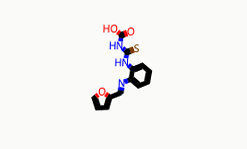 O=C(O)NC(=S)Nc1ccccc1N=Cc1ccco1